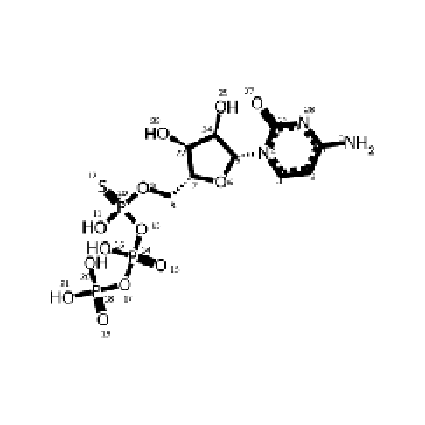 Nc1ccn([C@@H]2O[C@H](COP(O)(=S)OP(=O)(O)OP(=O)(O)O)[C@@H](O)[C@H]2O)c(=O)n1